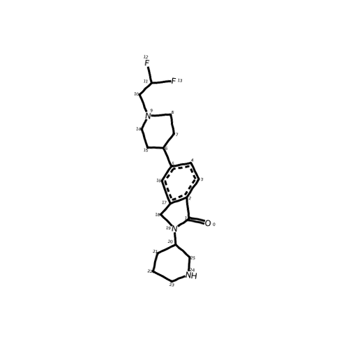 O=C1c2ccc(C3CCN(CC(F)F)CC3)cc2CN1C1CCCNC1